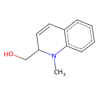 CN1c2ccccc2C=CC1CO